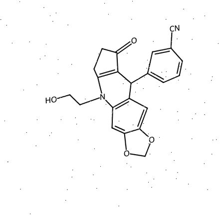 N#Cc1cccc(C2C3=C(CCC3=O)N(CCO)c3cc4c(cc32)OCO4)c1